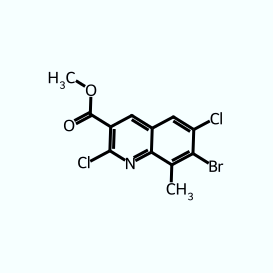 COC(=O)c1cc2cc(Cl)c(Br)c(C)c2nc1Cl